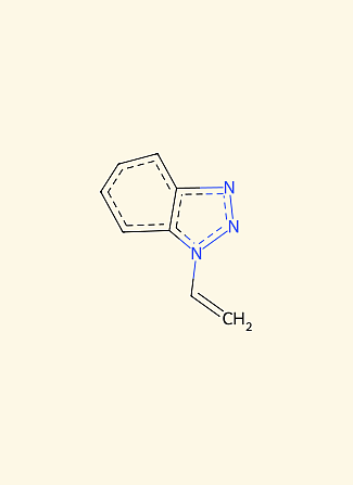 C=Cn1nnc2ccccc21